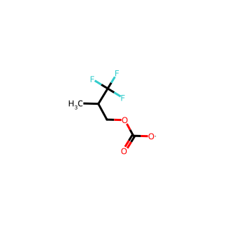 CC(COC([O])=O)C(F)(F)F